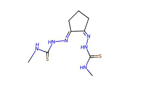 CNC(=S)NN=C1CCCC1=NNC(=S)NC